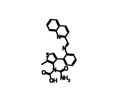 Cc1scc(-c2ccccc2N=Cc2ccc3ccccc3n2)c1N(C(N)=O)C(=O)O